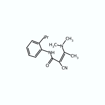 CC(=C(C#N)C(=O)Nc1ccccc1C(C)C)N(C)C